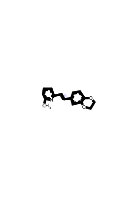 Cc1cccc(/C=C/c2ccc3c(c2)OCCO3)n1